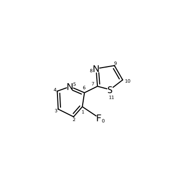 Fc1cccnc1-c1nccs1